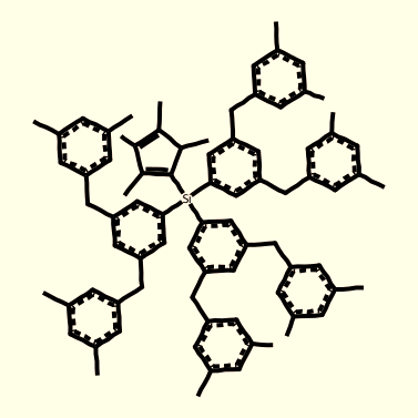 CC1=C(C)C(C)C([Si](c2cc(Cc3cc(C)cc(C)c3)cc(Cc3cc(C)cc(C)c3)c2)(c2cc(Cc3cc(C)cc(C)c3)cc(Cc3cc(C)cc(C)c3)c2)c2cc(Cc3cc(C)cc(C)c3)cc(Cc3cc(C)cc(C)c3)c2)=C1C